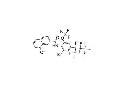 O=C(Nc1c(Br)cc(C(F)(C(F)(F)F)C(F)(F)C(F)(F)F)cc1OC(F)(F)F)c1ccc2ccc[n+]([O-])c2c1